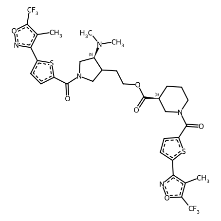 Cc1c(-c2ccc(C(=O)N3CCC[C@H](C(=O)OCCC4CN(C(=O)c5ccc(-c6noc(C(F)(F)F)c6C)s5)C[C@H]4N(C)C)C3)s2)noc1C(F)(F)F